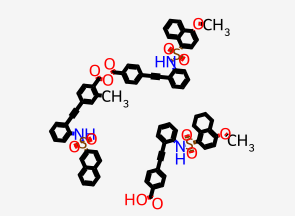 COc1ccc(S(=O)(=O)Nc2ccccc2C#Cc2ccc(C(=O)O)cc2)c2c1CCCC2.COc1ccc(S(=O)(=O)Nc2ccccc2C#Cc2ccc(C(=O)OC(=O)c3ccc(C#Cc4ccccc4NS(=O)(=O)c4ccc5ccccc5c4)cc3C)cc2)c2ccccc12